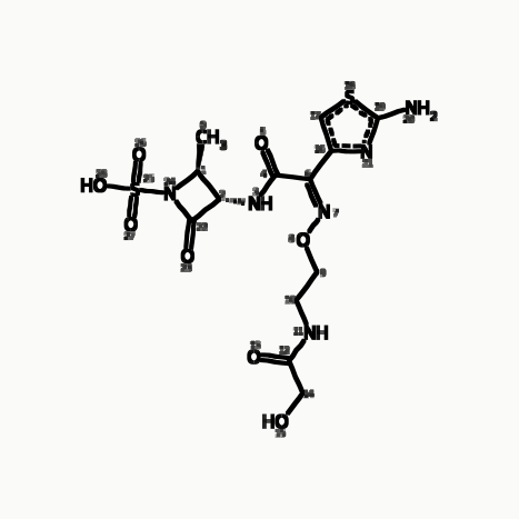 C[C@H]1[C@H](NC(=O)C(=NOCCNC(=O)CO)c2csc(N)n2)C(=O)N1S(=O)(=O)O